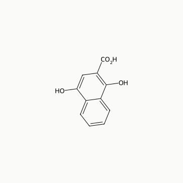 O=C(O)c1cc(O)c2ccccc2c1O